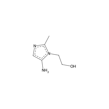 Cc1ncc(N)n1CCO